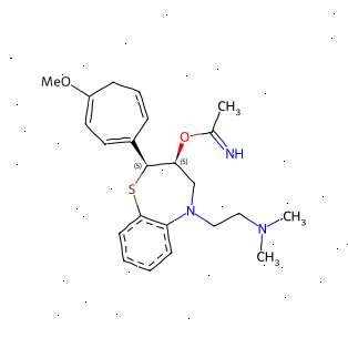 COC1=CC=C([C@@H]2Sc3ccccc3N(CCN(C)C)C[C@@H]2OC(C)=N)C=CC1